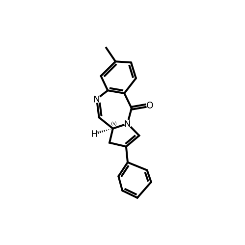 Cc1ccc2c(c1)N=C[C@@H]1CC(c3ccccc3)=CN1C2=O